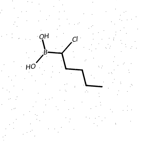 CCCCC(Cl)B(O)O